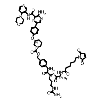 CC(C)[C@H](NC(=O)CCCCCN1C(=O)C=CC1=O)C(=O)N[C@@H](CCCNC(N)=O)C(=O)Nc1ccc(COC(=O)N2CCC[C@@H](Oc3ccc(-c4cnc(N)c(C(=O)Nc5cnccc5N5CCOCC5)n4)cc3)C2)cc1